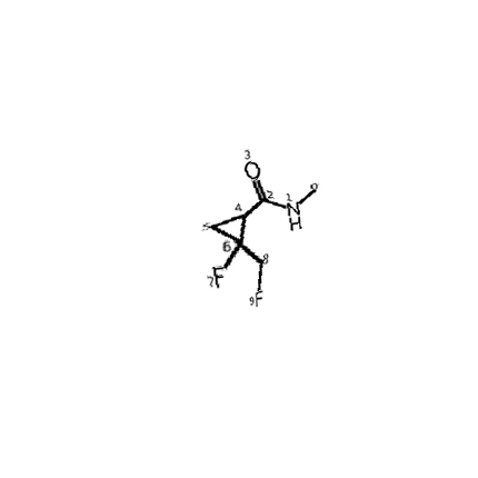 CNC(=O)C1CC1(F)CF